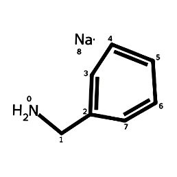 NCc1ccccc1.[Na]